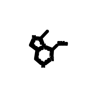 CSc1nncc2cnc(C)n12